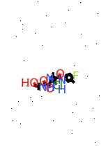 Cc1cc(NC(=O)c2c(Cl)c(C(=O)C(=O)NC(C)(C)CO)n(C)c2C)ccc1F